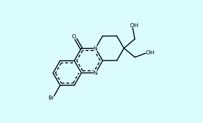 O=c1c2ccc(Br)cc2nc2n1CCC(CO)(CO)C2